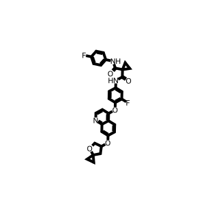 O=C(Nc1ccc(F)cc1)C1(C(=O)Nc2ccc(Oc3ccnc4cc(OC5COC6(CC6)C5)ccc34)c(F)c2)CC1